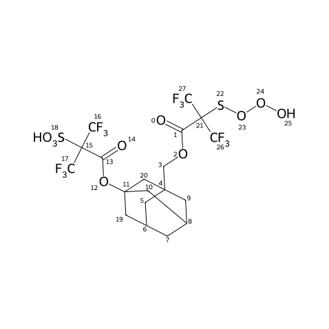 O=C(OCC12CC3CC(C1)CC(OC(=O)C(C(F)(F)F)(C(F)(F)F)S(=O)(=O)O)(C3)C2)C(SOOO)(C(F)(F)F)C(F)(F)F